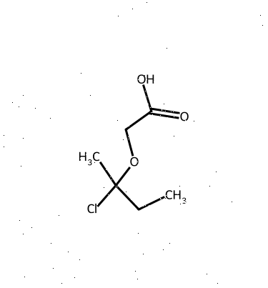 CCC(C)(Cl)OCC(=O)O